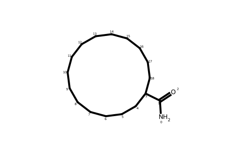 NC(=O)C1CCCCCCCCCCCCCCC1